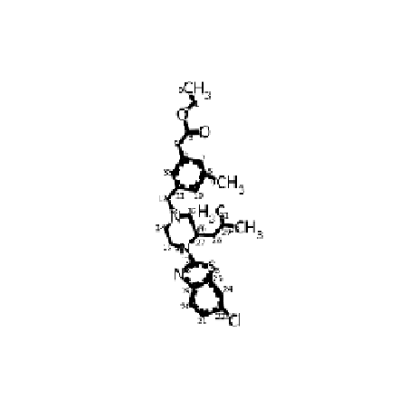 CCOC(=O)Cc1cc(C)cc(CN2CCN(c3nc4ccc(Cl)cc4s3)[C@H](CC(C)C)C2)c1